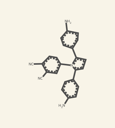 N#Cc1ccc(-n2c(-c3ccc(N)cc3)ccc2-c2ccc(N)cc2)cc1C#N